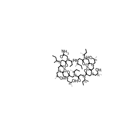 CC[C@@H](C)N(CC(N)=O)C(=O)CN(C(=O)CN(C[C@@H](C)O)C(=O)CN(C[C@@H](C)O)C(=O)CN(C(=O)CN(C(=O)CN(C[C@@H](C)O)C(=O)CN(C[C@@H](C)O)C(=O)CN(C(=O)CN[C@@H](C)CC)[C@H](C)CC)[C@@H](C)CC)[C@H](C)CC)[C@@H](C)CC